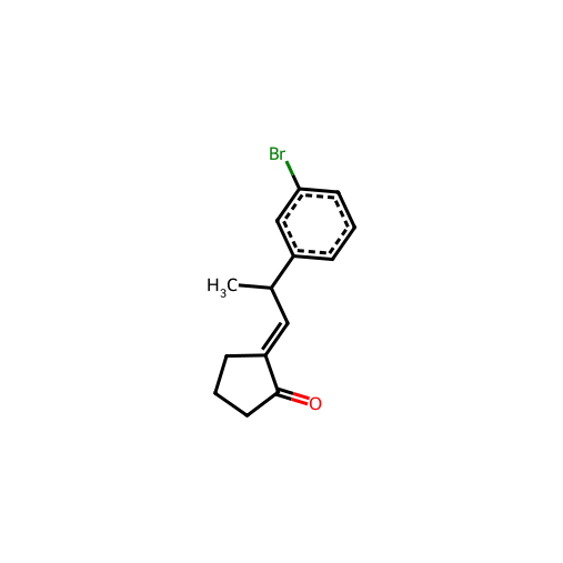 CC(/C=C1\CCCC1=O)c1cccc(Br)c1